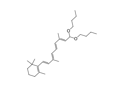 CCCCOC(C=C(C)C=CC=C(C)C=CC1=C(C)CCCC1(C)C)OCCCC